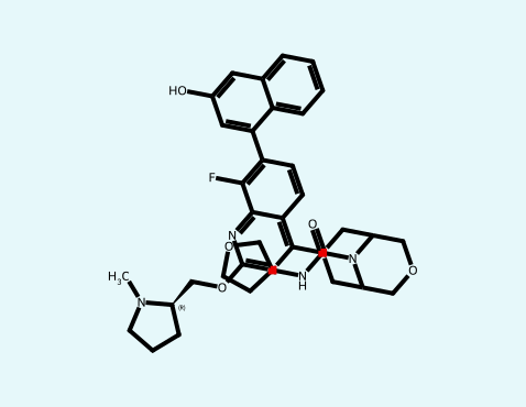 CN1CCC[C@@H]1COc1nc(N2CC3COCC(C2)N3C(=O)NC2CCOC2)c2ccc(-c3cc(O)cc4ccccc34)c(F)c2n1